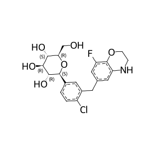 OC[C@H]1O[C@@H](c2ccc(Cl)c(Cc3cc(F)c4c(c3)NCCO4)c2)[C@H](O)[C@@H](O)[C@@H]1O